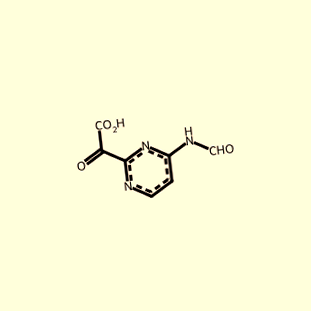 O=CNc1ccnc(C(=O)C(=O)O)n1